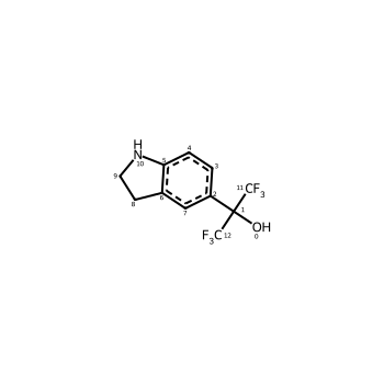 OC(c1ccc2c(c1)CCN2)(C(F)(F)F)C(F)(F)F